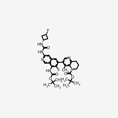 Cc1c(-c2cc3cc(NC(=O)N[C@H]4C[C@H](F)C4)ncc3c(NC(=O)OC(C)(C)C)c2F)cnc2c1N(C(=O)OC(C)(C)C)CCC2